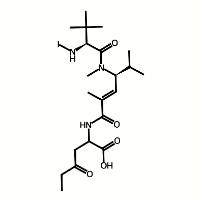 CCC(=O)CC(NC(=O)/C(C)=C/[C@H](C(C)C)N(C)C(=O)[C@@H](NI)C(C)(C)C)C(=O)O